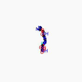 N#Cc1ccc(OC2CCC(NC(=O)c3ccc(N4CCC(CN5CCN(c6cc7c(cc6F)C(=O)N(C6CCC(=O)NC6=O)C7=O)CC5)CC4)cc3)CC2)c2cccnc12